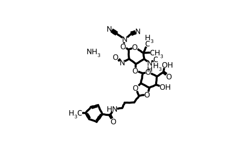 CNC1C(OC2OC(C(=O)O)C(O)C3OC(CCCNC(=O)c4ccc(C)cc4)OC23)C(N=O)C(ON(C#N)C#N)OC1(C)C.N